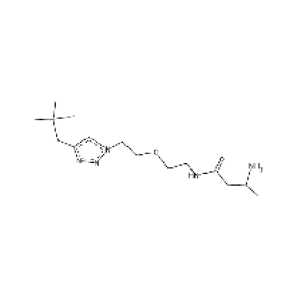 CC(N)CC(=O)NCCOCCn1cc(CC(C)(C)C)nn1